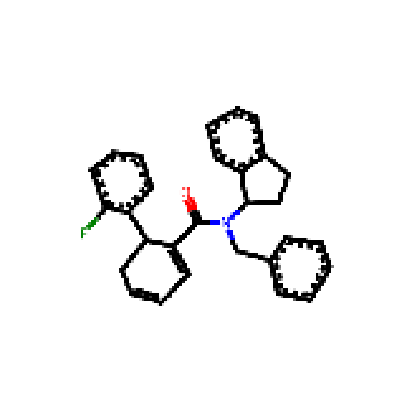 O=C(C1=CC=CCC1c1ccccc1F)N(Cc1ccccc1)C1CCc2ccccc21